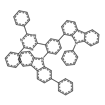 c1ccc(-c2ccc3c4ccccc4n(-c4ccc(-c5cccc6c7ccccc7n(-c7ccccc7)c56)cc4-c4nc(-c5ccccc5)nc(-c5ccccc5)n4)c3c2)cc1